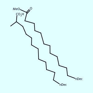 CCCCCCCCCCCCCCCCCCCCC(C)C(=O)O.CCCCCCCCCCCCCCCCCCCCCC(=O)OC